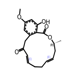 COc1cc(O)c2c(c1)CC(=O)/C=C/CC/C=C/C[C@@H](C)OC2=O